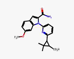 CC1(C)C(C(=O)O)C1c1cccc(-n2c(C(N)=O)cc3ccc(OC(F)(F)F)cc32)n1